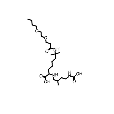 CCCCOCCOCCC(=O)NC(C)(C)CCCCC(NCC(C)CCNC(=O)O)C(=O)O